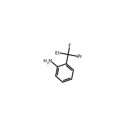 CCC(F)(c1ccccc1N)C(C)C